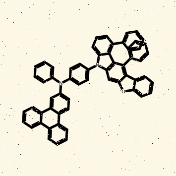 c1ccc(-c2cccc3c2c2c(-c4ccccc4)c4c(cc2n3-c2ccc(N(c3ccccc3)c3ccc5c6ccccc6c6ccccc6c5c3)cc2)oc2ccccc24)cc1